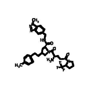 Cc1ccc(CCC2C[C@@H](C(=O)NCc3ccc4c(c3)nnn4C)N(C(=O)[C@H](N)CCC(=O)N3CCCC3C(F)(F)F)C2)cc1